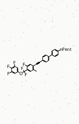 CCCCCc1ccc(-c2ccc(C#Cc3cc(F)c(C(F)(F)Oc4cc(F)c(F)c(F)c4)cc3C)cc2)cc1